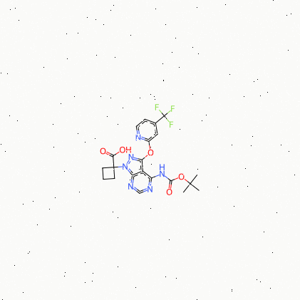 CC(C)(C)OC(=O)Nc1ncnc2c1c(Oc1cc(C(F)(F)F)ccn1)nn2C1(C(=O)O)CCC1